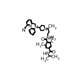 Cc1cc(C(=O)NC(C)C)cc(C)c1C(=O)NCCC(C)N1CCC(N(Cc2cccc(C#N)n2)c2ccccc2)CC1